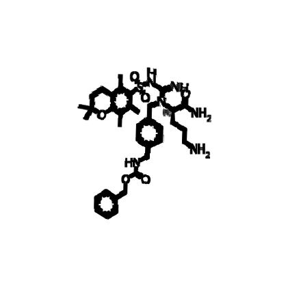 Cc1c(C)c(S(=O)(=O)NC(=N)N(Cc2ccc(CNC(=O)OCc3ccccc3)cc2)[C@H](CCCN)C(N)=O)c(C)c2c1OC(C)(C)CC2